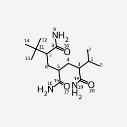 CC(C)C(CC(CC(C(N)=O)C(C)(C)C)C(N)=O)C(N)=O